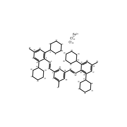 Cc1cc(C=Nc2c(C3CCCCC3)cc(C)cc2C2CCCCC2)nc(C=Nc2c(C3CCCCC3)cc(C)cc2C2CCCCC2)c1.[Cl-].[Cl-].[Fe+2]